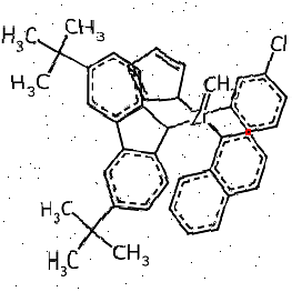 [CH2]=[Zr]([c]1cccc(Cl)c1)([c]1cccc2ccccc12)([CH]1C=CC=C1)[CH]1c2ccc(C(C)(C)C)cc2-c2cc(C(C)(C)C)ccc21